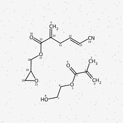 C=C(C)C(=O)OCCO.C=C(CC=CC#N)C(=O)OCC1CO1